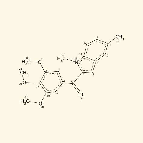 COc1cc(C(=O)c2cc3cc(C)ccc3n2C)cc(OC)c1OC